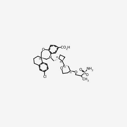 CC(CO[C@H]1CCO[C@H]([C@@H]2CC[C@H]2CN2C[C@@]3(CCCc4cc(Cl)ccc43)COc3ccc(C(=O)O)cc32)C1)S(N)(=O)=O